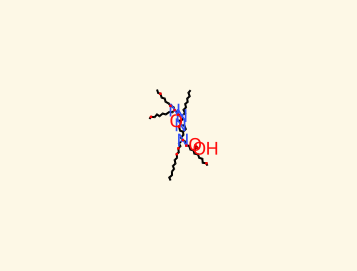 CCCCCCCCCCCCCCN(CCCCC(CCCCCCC)C(=O)O)CCC1CCN(C(=O)CN(CCCCCCCCC)CCN(CCCCCCCCC)CCCCCCCCC)CC1